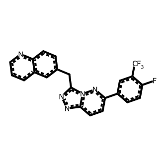 Fc1ccc(-c2ccc3nnc(Cc4ccc5ncccc5c4)n3n2)cc1C(F)(F)F